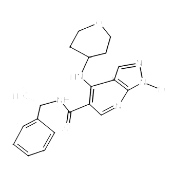 CCn1ncc2c(NC3CCOCC3)c(C(=O)N[C@@H](C)c3ccccc3)cnc21